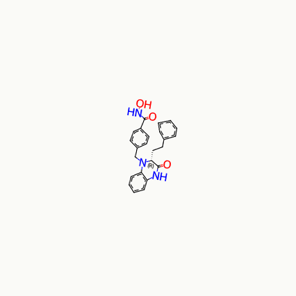 O=C(NO)c1ccc(CN2c3ccccc3NC(=O)[C@H]2CCc2ccccc2)cc1